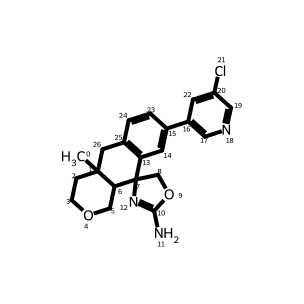 CC12CCOCC1C1(COC(N)=N1)c1cc(-c3cncc(Cl)c3)ccc1C2